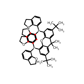 CC(C)(C)c1cc(P(c2cccc3c2OCC3)c2cccc3c2OCC3)c2c(c1)C(C)(C)c1cc(C(C)(C)C)cc(P(c3cccc4c3OCC4)c3cccc4c3OCC4)c1O2